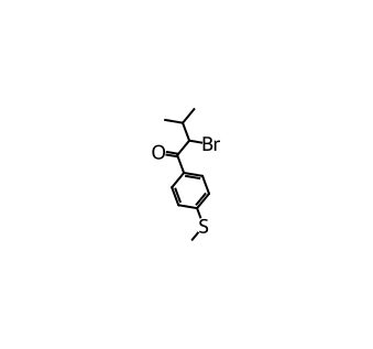 CSc1ccc(C(=O)C(Br)C(C)C)cc1